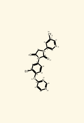 CCc1cc(N2C(=O)CN(c3cncc(C(F)(F)F)c3)C2=O)ccc1Oc1ccncn1